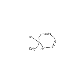 O=CC1(Br)C=NC=CN1